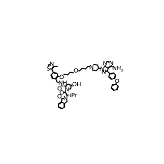 Cc1ncsc1-c1ccc(CNC(=O)[C@@H]2C[C@@H](O)CN2C(=O)[C@H](C(C)C)N2Cc3ccccc3C2=O)c(OCCCCOCCCCN2CCC(n3nc(-c4ccc(Oc5ccccc5)cc4)c4c(N)ncnc43)CC2)c1